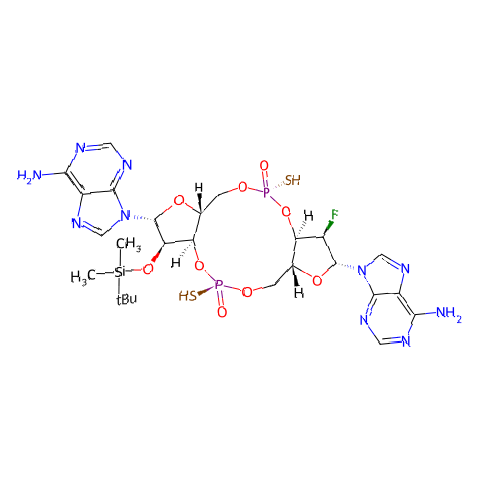 CC(C)(C)[Si](C)(C)O[C@@H]1[C@@H]2O[P@](=O)(S)OC[C@H]3O[C@@H](n4cnc5c(N)ncnc54)[C@H](F)[C@@H]3O[P@@](=O)(S)OC[C@H]2O[C@H]1n1cnc2c(N)ncnc21